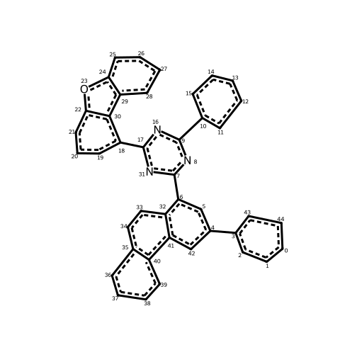 c1ccc(-c2cc(-c3nc(-c4ccccc4)nc(-c4cccc5oc6ccccc6c45)n3)c3ccc4ccccc4c3c2)cc1